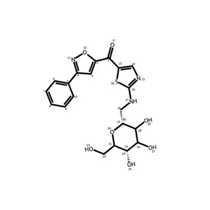 O=C(c1cc(-c2ccccc2)no1)c1cnc(NC[C@H]2OC(CO)[C@@H](O)C(O)C2O)s1